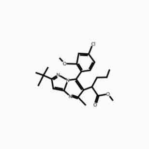 CCCC(C(=O)OC)c1c(C)nc2cc(C(C)(C)C)nn2c1-c1ccc(Cl)cc1OC